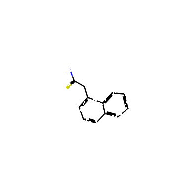 NC(=S)Cc1cccc2ccccc12